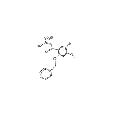 CCOC(=O)/C(O)=C/C(=O)c1cc(Br)c(C)cc1OCc1ccccc1